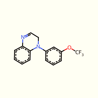 FC(F)(F)Oc1cccc(N2CC=Nc3ccccc32)c1